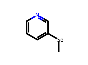 C[Se]c1c[c]cnc1